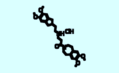 COc1cc2c(cc1OC)CCN(C(=O)CCNCCC1Cc3cc(OC)c(OC)cc3C1)CC2.Cl